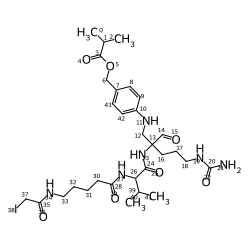 CC(C)C(=O)OCc1ccc(NCC(C=O)(CCCNC(N)=O)NC(=O)C(NC(=O)CCCCNC(=O)CI)C(C)C)cc1